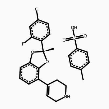 C[C@]1(c2ccc(Cl)cc2F)Oc2cccc(C3=CCNCC3)c2O1.Cc1ccc(S(=O)(=O)O)cc1